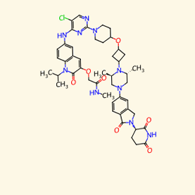 CNC(=O)COc1cc2cc(Nc3nc(N4CCC(OC5CC(N6[C@H](C)CN(c7ccc8c(c7)CN([C@@H]7CCC(=O)NC7=O)C8=O)C[C@H]6C)C5)CC4)ncc3Cl)ccc2n(C(C)C)c1=O